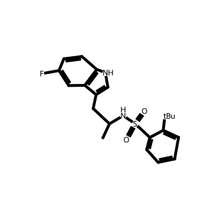 CC(Cc1c[nH]c2ccc(F)cc12)NS(=O)(=O)c1ccccc1C(C)(C)C